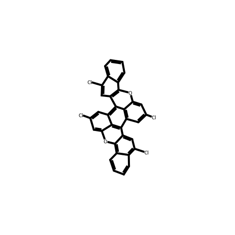 Clc1cc2oc3c4ccccc4c(Cl)cc3c3c4cc(Cl)cc5oc6c7ccccc7c(Cl)cc6c(c(c1)c23)c54